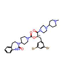 CN1CCC(N2CCN(C(=O)[C@@H](Cc3cc(Br)cc(Br)c3)OC(=O)N3CCC(N4CCc5ccccc5NC4=O)CC3)CC2)CC1